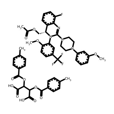 COc1cccc(N2CCN(C3=Nc4c(F)cccc4[C@@H](COC(C)=O)N3c3cc(C(F)(F)F)ccc3OC)CC2)c1.Cc1ccc(C(=O)OC(C(=O)O)C(OC(=O)c2ccc(C)cc2)C(=O)O)cc1